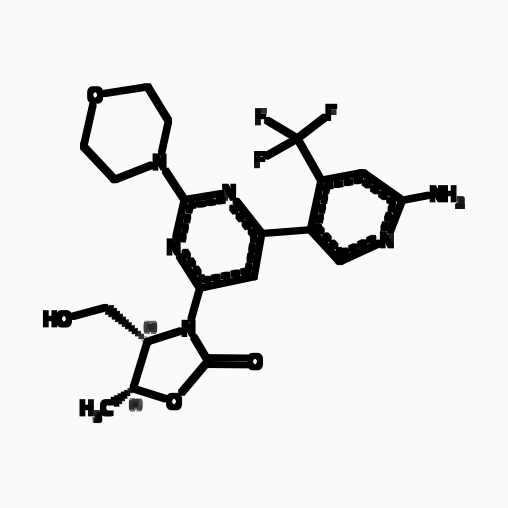 C[C@H]1OC(=O)N(c2cc(-c3cnc(N)cc3C(F)(F)F)nc(N3CCOCC3)n2)[C@H]1CO